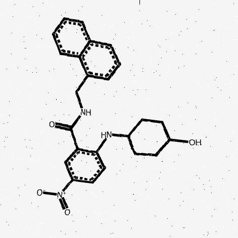 O=C(NCc1cccc2ccccc12)c1cc([N+](=O)[O-])ccc1NC1CCC(O)CC1